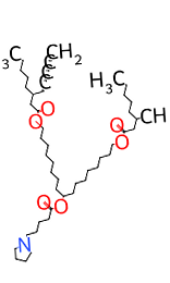 C=C=C=C=CC(CCCCC)CC(=O)OCCCCCCCCC(CCCCCCCCOC(=O)CC(C)CCCCC)OC(=O)CCCCN1CCCC1